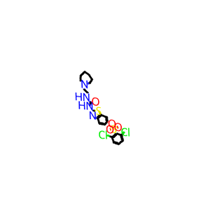 O=C(NCCN1CCCCCC1)Nc1nc2ccc(OS(=O)(=O)c3c(Cl)cccc3Cl)cc2s1